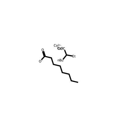 CCCCC(CC)C(=O)[O-].CCCCCCCC(=O)[O-].[Co+2].[Co+2]